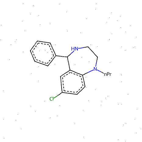 CCCN1CCNC(c2ccccc2)c2cc(Cl)ccc21